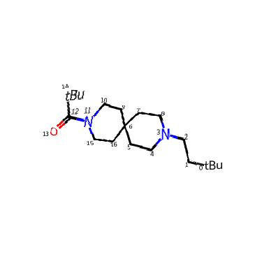 CC(C)(C)CCN1CCC2(CC1)CCN(C(=O)C(C)(C)C)CC2